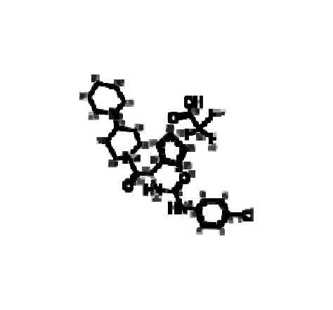 O=C(Nc1ccc(Cl)cc1)N[C@H](C(=O)N1CCC(N2CCCCC2)CC1)c1cccs1.O=C(O)C(F)(F)F